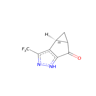 O=C1c2[nH]nc(C(F)(F)F)c2[C@H]2CC12